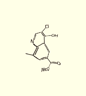 COC(=O)c1cc(C)c2ncc(Cl)c(O)c2c1